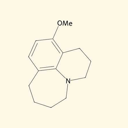 COc1ccc2c3c1CCCN3CCCC2